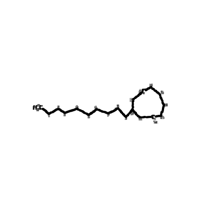 CCCCCCCCCC[C]1CCCCCCCC1